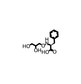 O=C(O)[C@H](Cc1ccccc1)NOCC(O)CO